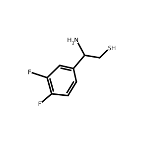 NC(CS)c1ccc(F)c(F)c1